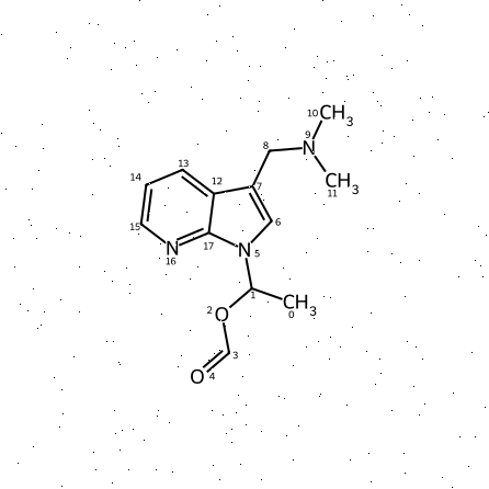 CC(OC=O)n1cc(CN(C)C)c2cccnc21